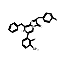 Nc1cccc(-c2cn3c(=O)c(Cc4ccc(F)cc4)nc-3c(Cc3ccccc3)[nH]2)c1F